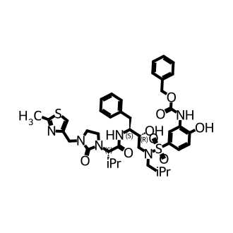 Cc1nc(CN2CCN([C@H](C(=O)N[C@@H](Cc3ccccc3)[C@H](O)CN(CC(C)C)S(=O)(=O)c3ccc(O)c(NC(=O)OCc4ccccc4)c3)C(C)C)C2=O)cs1